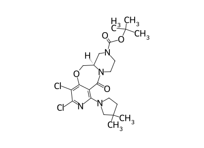 CC1(C)CCN(c2nc(Cl)c(Cl)c3c2C(=O)N2CCN(C(=O)OC(C)(C)C)C[C@@H]2CO3)C1